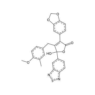 COc1ccc(CC2=C(c3ccc4c(c3)OCO4)C(=O)OC2(O)c2ccc3nsnc3c2)cc1C